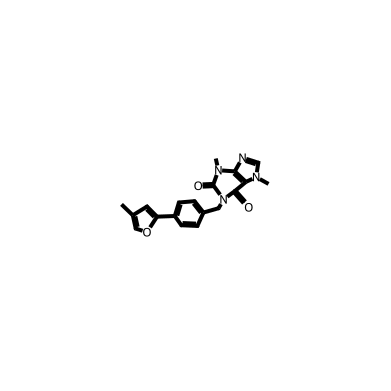 Cc1coc(-c2ccc(Cn3c(=O)c4c(ncn4C)n(C)c3=O)cc2)c1